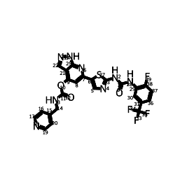 O=C(Nc1ncc(-c2cc(OC(=O)NCc3ccncc3)c3cn[nH]c3n2)s1)Nc1cc(C(F)(F)F)ccc1F